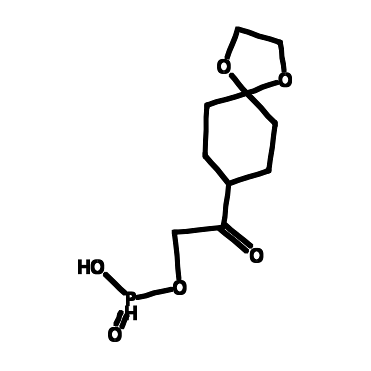 O=C(CO[PH](=O)O)C1CCC2(CC1)OCCO2